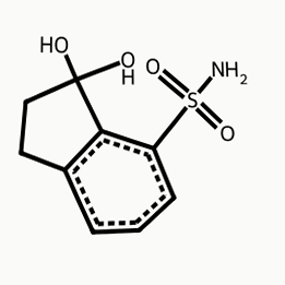 NS(=O)(=O)c1cccc2c1C(O)(O)CC2